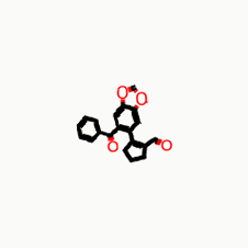 O=CC1=C(c2cc3c(cc2C(=O)c2ccccc2)OCO3)CCC1